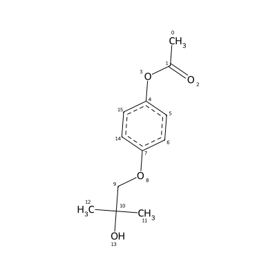 CC(=O)Oc1ccc(OCC(C)(C)O)cc1